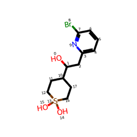 OC(Cc1cccc(Br)n1)C1CCS(O)(O)CC1